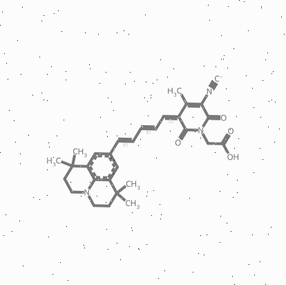 [C-]#[N+]C1=C(C)/C(=C/C=C/C=C/c2cc3c4c(c2)C(C)(C)CCN4CCC3(C)C)C(=O)N(CC(=O)O)C1=O